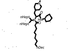 CCCCCCCCCCCCCCCCCC(=O)N(C(CCCCCCC)CCCCCCC)C(CC1CCN(C)CC1)C(=O)NC1CCCCC1